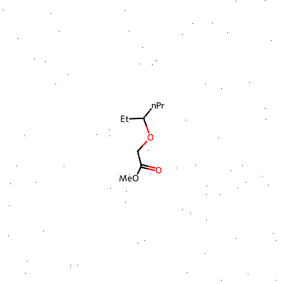 CCCC(CC)OCC(=O)OC